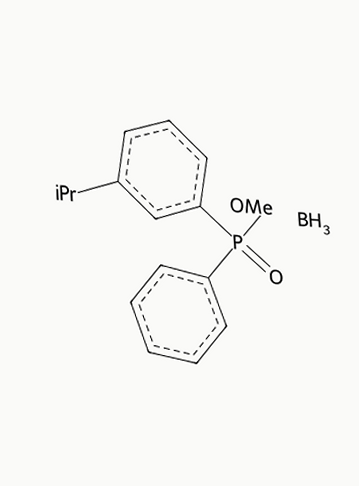 B.COP(=O)(c1ccccc1)c1cccc(C(C)C)c1